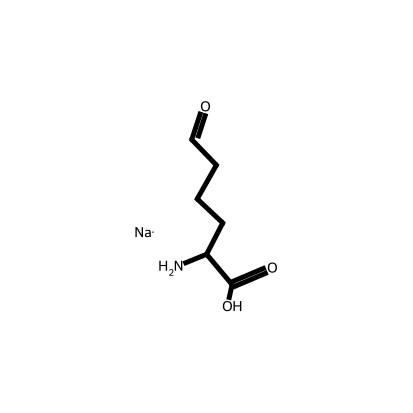 NC(CCCC=O)C(=O)O.[Na]